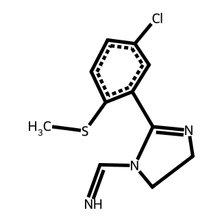 CSc1ccc(Cl)cc1C1=NCCN1C=N